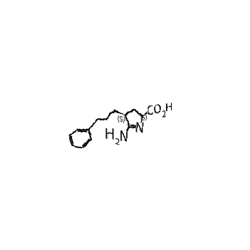 NC1=N[C@H](C(=O)O)C[C@@H]1CCCc1ccccc1